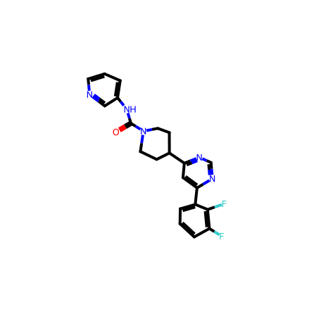 O=C(Nc1cccnc1)N1CCC(c2cc(-c3cccc(F)c3F)ncn2)CC1